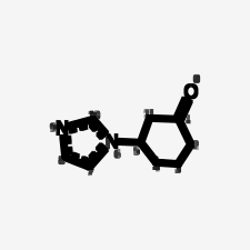 O=C1CC[CH]C(n2ccnc2)C1